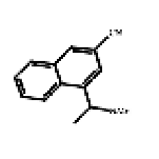 CNC(C)c1cc(C#N)cc2ccccc12